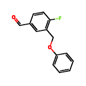 O=Cc1ccc(F)c(COc2ccccc2)c1